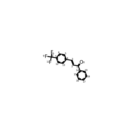 O=C(C=Cc1ccc(C(F)(F)F)cc1)c1ccccc1